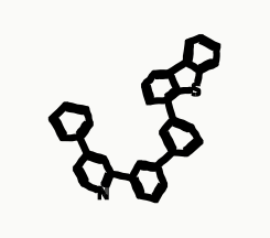 c1ccc(-c2ccnc(-c3cccc(-c4cccc(-c5cccc6c5sc5ccccc56)c4)c3)c2)cc1